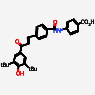 CC(C)(C)c1cc(C(=O)C=Cc2ccc(C(=O)Nc3ccc(C(=O)O)cc3)cc2)cc(C(C)(C)C)c1O